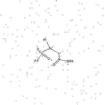 [CH2]NC(=O)CN(C(C)C)S(C)(=O)=O